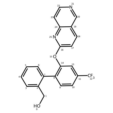 OCc1ccccc1-c1ccc(C(F)(F)F)cc1Oc1ccc2cnccc2n1